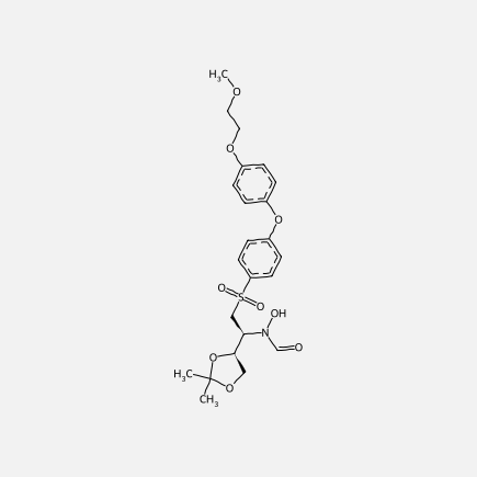 COCCOc1ccc(Oc2ccc(S(=O)(=O)C[C@H]([C@H]3COC(C)(C)O3)N(O)C=O)cc2)cc1